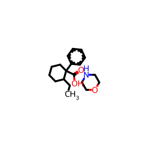 C1COCCN1.CCC1CCCCC1(C(=O)O)c1ccccc1